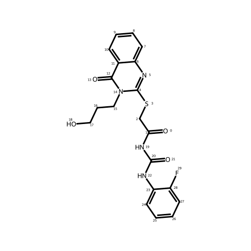 O=C(CSc1nc2ccccc2c(=O)n1CCCO)NC(=O)Nc1ccccc1F